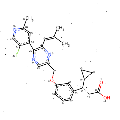 CC(C)=Cc1nc(COc2cccc([C@@H](CC(=O)O)C3CC3)c2)cnc1-c1cc(C)ncc1F